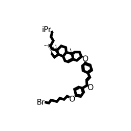 CC(C)CCC[C@@H](C)[C@H]1CCC2C3CC=C4CC(Oc5ccc(C=CC(=O)c6ccc(OCCCCCCBr)cc6)cc5)CC[C@]4(C)C3CC[C@@]21C